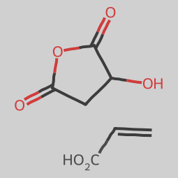 C=CC(=O)O.O=C1CC(O)C(=O)O1